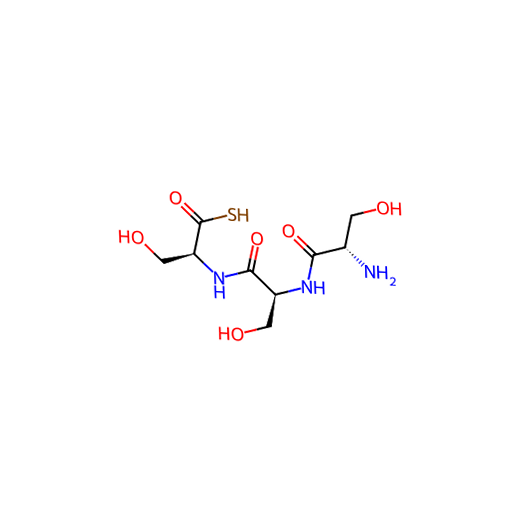 N[C@@H](CO)C(=O)N[C@@H](CO)C(=O)N[C@@H](CO)C(=O)S